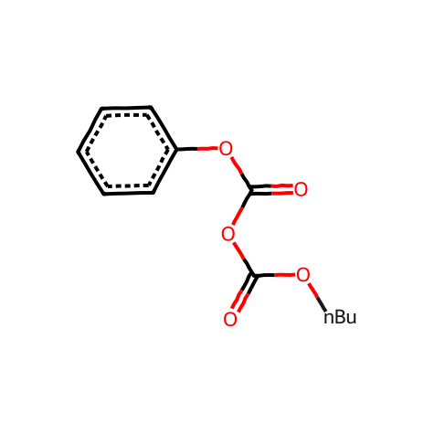 CCCCOC(=O)OC(=O)Oc1ccccc1